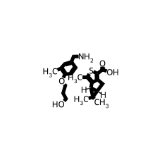 Cc1cc(CN)ccc1OCCCO.Cc1sc(C(=O)O)c2c1[C@H]1[C@@H](C2)C1(C)C